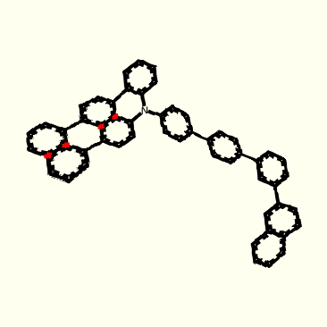 c1ccc(-c2ccc(-c3ccccc3N(c3ccc(-c4ccccc4)cc3)c3ccc(-c4ccc(-c5cccc(-c6ccc7ccccc7c6)c5)cc4)cc3)cc2)cc1